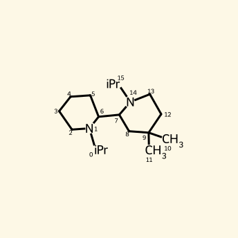 CC(C)N1CCCCC1C1CC(C)(C)CCN1C(C)C